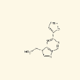 O=C(O)Cn1cnc2cnc(-c3ccco3)nc21